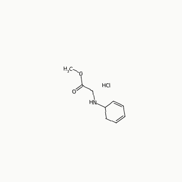 COC(=O)CNC1C=CC=CC1.Cl